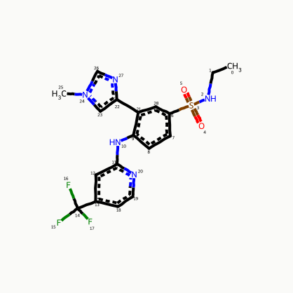 CCNS(=O)(=O)c1ccc(Nc2cc(C(F)(F)F)ccn2)c(-c2cn(C)cn2)c1